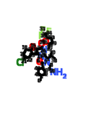 Cc1ccc(C(=O)N(CCN)C(c2nc3c(oc4ccc(Cl)cc43)c(=O)n2Cc2ccc(C(F)(F)F)o2)C(C)C)cc1